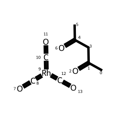 CC(=O)CC(C)=O.O=[C]=[Rh](=[C]=O)=[C]=O